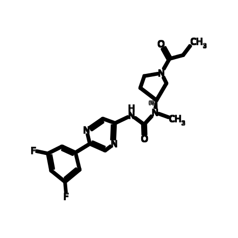 CCC(=O)N1CC[C@H](N(C)C(=O)Nc2cnc(-c3cc(F)cc(F)c3)cn2)C1